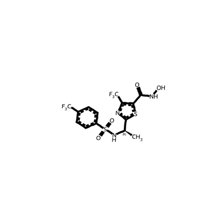 C[C@@H](NS(=O)(=O)c1ccc(C(F)(F)F)cc1)c1nc(C(F)(F)F)c(C(=O)NO)s1